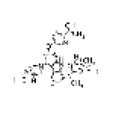 CC(O)c1ncc(Oc2nc(N3C[C@H]4CC3C[C@H]4C)c3c(n2)[nH]c2c(N(C)C(=O)OC(C)(C)C)cc(F)cc23)cn1